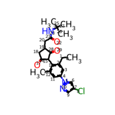 CCc1cc(-n2cc(Cl)cn2)cc(C)c1C1C(=O)CC(CC(=O)NC(C)(C)C)C1=O